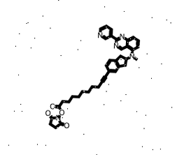 CN(c1cccc2nc(-c3cccnc3)ncc12)C1Cc2ccc(C#CCCCCCCCCC(=O)ON3C(=O)CCC3=O)cc2C1